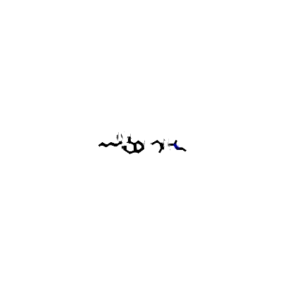 CC=CC=CC(=O)N1CCc2ccc(OCCc3nc(/C(C)=C/CC)oc3C)cc2C1C(=O)O